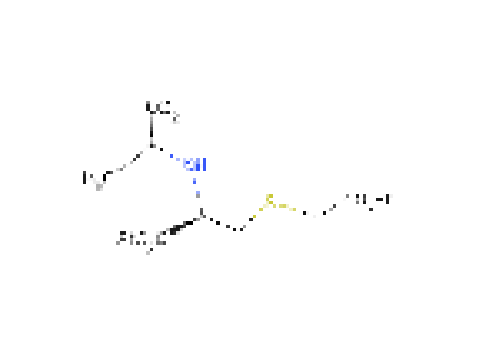 CCOC(=O)CSC[C@H](NC(C)C(=O)O)C(=O)OCC